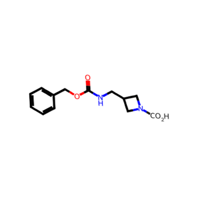 O=C(NCC1CN(C(=O)O)C1)OCc1ccccc1